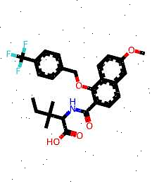 CCC(C)(C)C(NC(=O)c1ccc2cc(OC)ccc2c1OCc1ccc(C(F)(F)F)cc1)C(=O)O